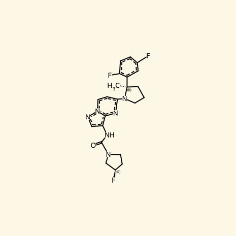 C[C@]1(c2cc(F)ccc2F)CCCN1c1ccn2ncc(NC(=O)N3CC[C@@H](F)C3)c2n1